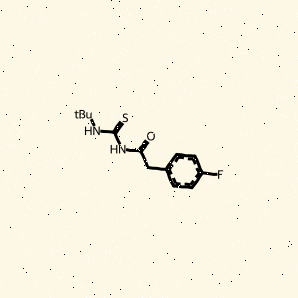 CC(C)(C)NC(=S)NC(=O)Cc1ccc(F)cc1